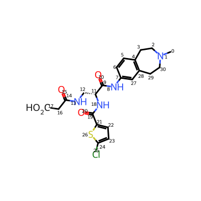 CN1CCc2ccc(NC(=O)[C@@H](CNC(=O)CC(=O)O)NC(=O)c3ccc(Cl)s3)cc2CC1